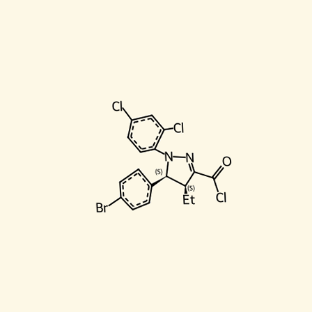 CC[C@@H]1C(C(=O)Cl)=NN(c2ccc(Cl)cc2Cl)[C@@H]1c1ccc(Br)cc1